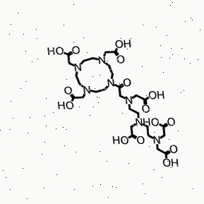 O=C(O)CN1CCN(CC(=O)O)CCN(C(=O)CN(CCN(CCN(CC(=O)O)CC(=O)O)CC(=O)O)CC(=O)O)CCN(CC(=O)O)CC1